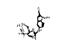 Nc1nc(Nc2ccc3c(c2)CC(=O)N3)ncc1C(F)(F)F